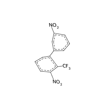 O=[N+]([O-])c1cccc(-c2cccc([N+](=O)[O-])c2C(F)(F)F)c1